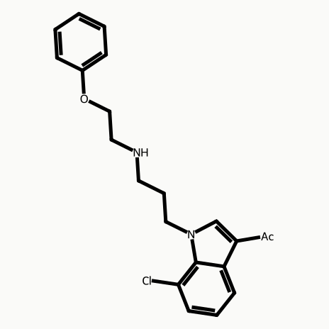 CC(=O)c1cn(CCCNCCOc2ccccc2)c2c(Cl)cccc12